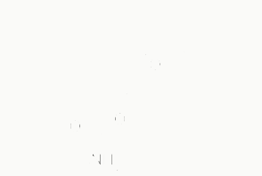 CC(C)COCCOC(N)=O